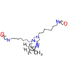 C[Si](C)(C)N=C1CN(CCCCCCN=C=O)CN1CCCCCCN=C=O